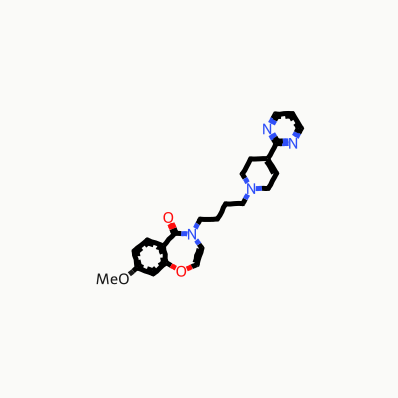 COc1ccc2c(c1)OC=CN(CCCCN1CC=C(c3ncccn3)CC1)C2=O